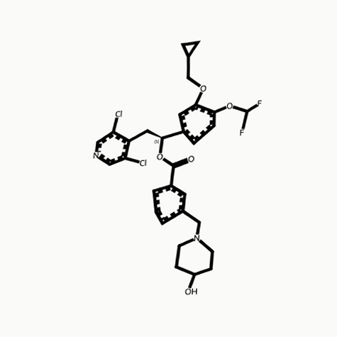 O=C(O[C@@H](Cc1c(Cl)cncc1Cl)c1ccc(OC(F)F)c(OCC2CC2)c1)c1cccc(CN2CCC(O)CC2)c1